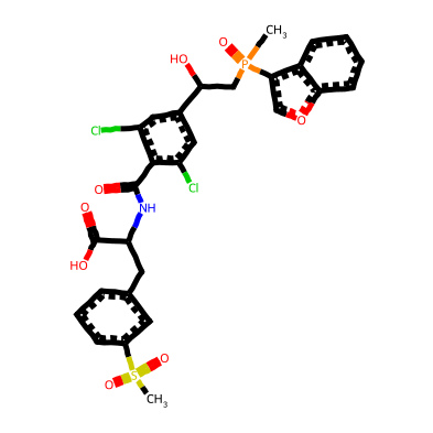 CP(=O)(CC(O)c1cc(Cl)c(C(=O)NC(Cc2cccc(S(C)(=O)=O)c2)C(=O)O)c(Cl)c1)c1coc2ccccc12